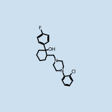 OC1(c2ccc(F)cc2)CCCCC1CN1CCN(c2ccccc2Cl)CC1